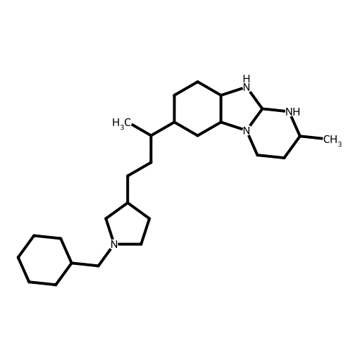 CC1CCN2C(N1)NC1CCC(C(C)CCC3CCN(CC4CCCCC4)C3)CC12